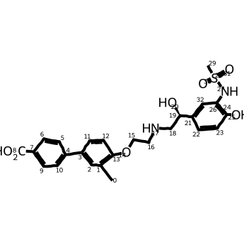 Cc1cc(-c2ccc(C(=O)O)cc2)ccc1OCCNC[C@@H](O)c1ccc(O)c(NS(C)(=O)=O)c1